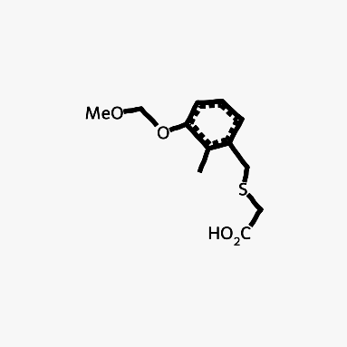 COCOc1cccc(CSCC(=O)O)c1C